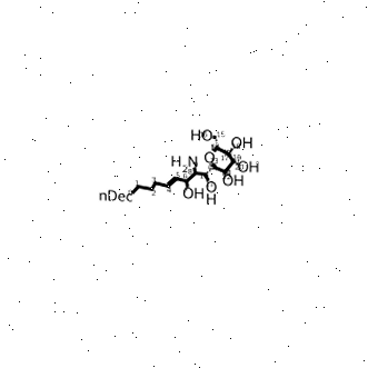 CCCCCCCCCCCCCC=CC(O)C(N)C(O)[C@@H]1O[C@H](CO)[C@@H](O)[C@H](O)[C@H]1O